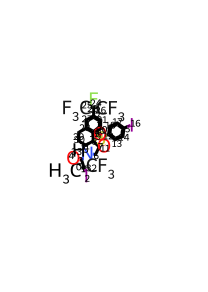 CC(I)(C(=O)N1CC[C@@]2(S(=O)(=O)c3ccc(I)cc3)c3ccc(C(F)(C(F)(F)F)C(F)(F)F)cc3CC[C@@H]12)C(F)(F)F